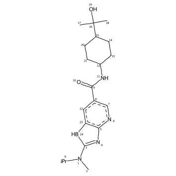 CC(C)N(C)C1=Nc2ncc(C(=O)NC3CCC(C(C)(C)O)CC3)cc2B1